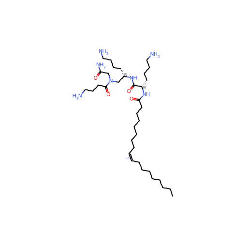 CCCCCCCC/C=C\CCCCCCCC(=O)N[C@@H](CCCCN)C(=O)N[C@@H](CCCCN)CN(CC(N)=O)C(=O)CCCN